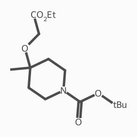 CCOC(=O)COC1(C)CCN(C(=O)OC(C)(C)C)CC1